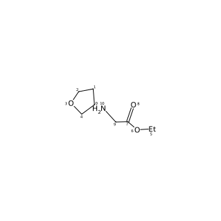 C1CCOC1.CCOC(=O)CN